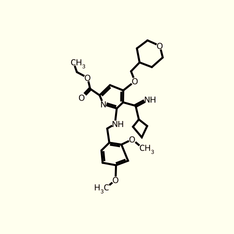 CCOC(=O)c1cc(OCC2CCOCC2)c(C(=N)C2CCC2)c(NCc2ccc(OC)cc2OC)n1